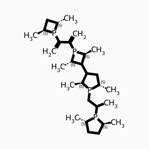 C=C(C(=C)P1[C@@H](C)C(C2C[C@H](C)P(CC(C)P3[C@@H](C)CC[C@@H]3C)[C@H]2C)[C@@H]1C)P1[C@@H](C)C[C@@H]1C